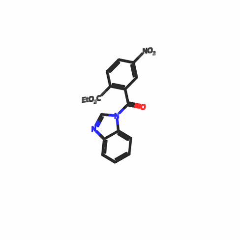 CCOC(=O)c1ccc([N+](=O)[O-])cc1C(=O)n1cnc2ccccc21